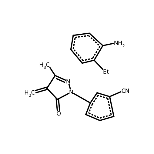 C=C1C(=O)N(c2cccc(C#N)c2)N=C1C.CCc1ccccc1N